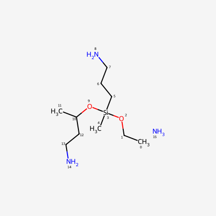 CCO[Si](C)(CCCN)OC(C)CCN.N